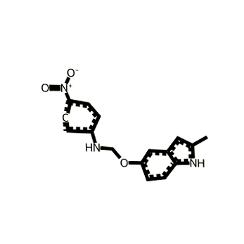 Cc1cc2cc(OCNc3ccc([N+](=O)[O-])cc3)ccc2[nH]1